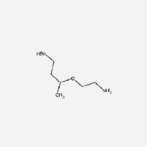 CCCCCCC(C)OCCN